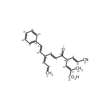 C=CC=C(C=CC(=O)N(C=CC#N)C=C(C)C(=O)O)C=Cc1ccccc1